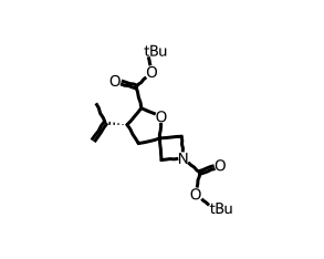 C=C(C)[C@H]1CC2(CN(C(=O)OC(C)(C)C)C2)OC1C(=O)OC(C)(C)C